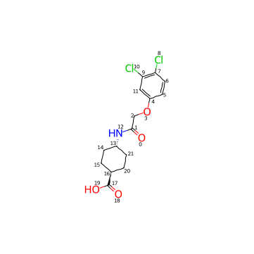 O=C(COc1ccc(Cl)c(Cl)c1)N[C@H]1CC[C@H](C(=O)O)CC1